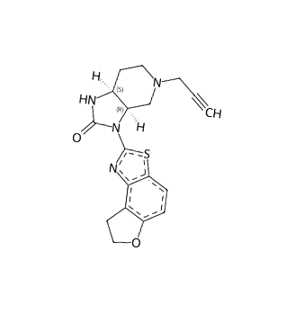 C#CCN1CC[C@@H]2NC(=O)N(c3nc4c5c(ccc4s3)OCC5)[C@@H]2C1